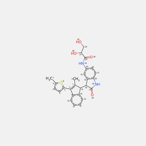 CC1=C(c2ccc(C)s2)c2ccccc2C1C1C(=O)Nc2ccc(NC(=O)C(O)CO)cc21